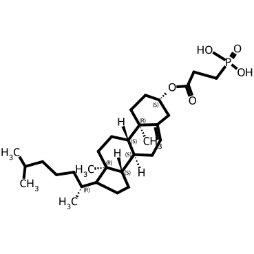 CC(C)CCC[C@@H](C)C1CC[C@H]2[C@@H]3CC=C4C[C@@H](OC(=O)CCP(=O)(O)O)CC[C@]4(C)[C@H]3CC[C@]12C